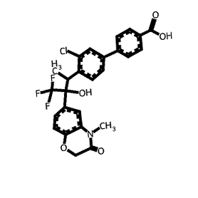 CC(c1ccc(-c2ccc(C(=O)O)cc2)cc1Cl)C(O)(c1ccc2c(c1)N(C)C(=O)CO2)C(F)(F)F